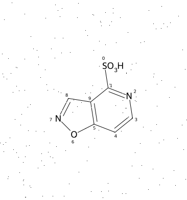 O=S(=O)(O)c1nccc2oncc12